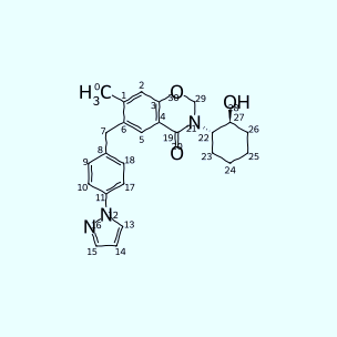 Cc1cc2c(cc1Cc1ccc(-n3cccn3)cc1)C(=O)N([C@H]1CCCC[C@@H]1O)CO2